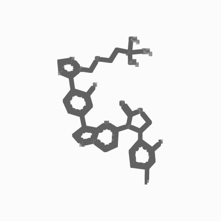 C[Si](C)(C)CCOCn1ncnc1-c1ccc(-c2cnn3ccc(N4C(=O)OCC4c4ccc(F)cc4F)nc23)cc1F